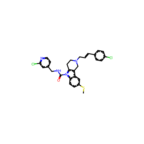 CSc1ccc2c(c1)c1c(n2C(=O)NCc2ccnc(Cl)c2)CCN(C/C=C/c2ccc(Cl)cc2)C1